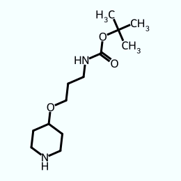 CC(C)(C)OC(=O)NCCCOC1CCNCC1